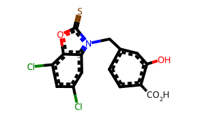 O=C(O)c1ccc(Cn2c(=S)oc3c(Cl)cc(Cl)cc32)cc1O